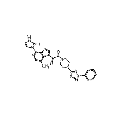 Cc1cnc(N2C=CNN2)c2[nH]cc(C(=O)C(=O)N3CCN(c4nc(-c5ccccc5)ns4)CC3)c12